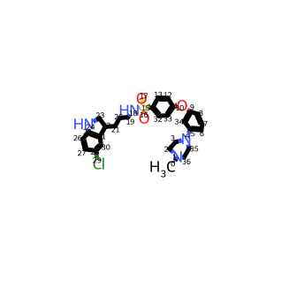 CN1CCN(c2cccc(Oc3ccc(S(=O)(=O)NCCCC4CNc5ccc(Cl)cc54)cc3)c2)CC1